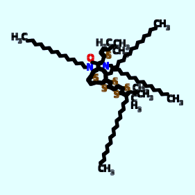 CCCCCCCCCCCCCCCCCc1c(C(C)(C)C)sc2c1sc1c2sc2c1sc1c3ccc(s3)c3c4c(c(-c5ccc(C(C)(C)C)s5)n(CCCCCCCCCCCCCCCC)c4c(CCCCCCCCCCCCCCCC)c12)C(=O)N3CCCCCCCCCCCCCCCC